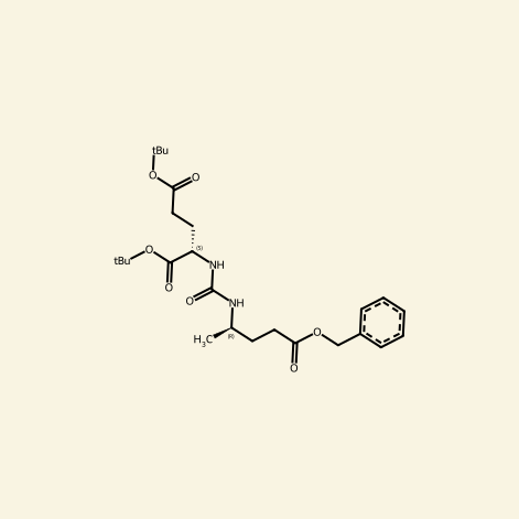 C[C@H](CCC(=O)OCc1ccccc1)NC(=O)N[C@@H](CCC(=O)OC(C)(C)C)C(=O)OC(C)(C)C